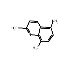 Cc1ccc2c(N)ccc(C)c2n1